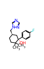 CC1(C)CC[C@@H](Cn2cncn2)C[C@@]1(O)c1ccc(F)cc1